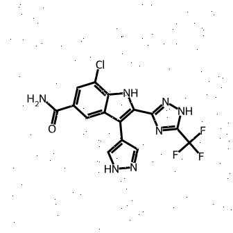 NC(=O)c1cc(Cl)c2[nH]c(-c3n[nH]c(C(F)(F)F)n3)c(-c3cn[nH]c3)c2c1